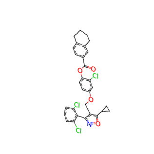 O=C(Oc1ccc(OCc2c(-c3c(Cl)cccc3Cl)noc2C2CC2)cc1Cl)c1ccc2c(c1)CCCC2